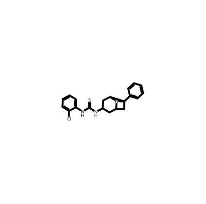 S=C(Nc1ccccc1Cl)NC1CC2CC3(c4ccccc4)C(C1)N23